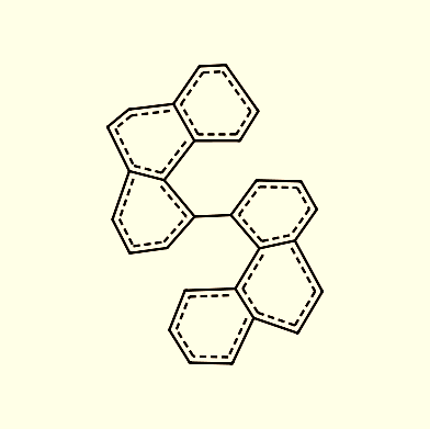 c1ccc2c(c1)ccc1cccc(-c3cccc4ccc5ccccc5c34)c12